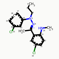 CCCN(/N=C(\C)c1cc(Cl)ccc1NC)c1cccc(Cl)c1